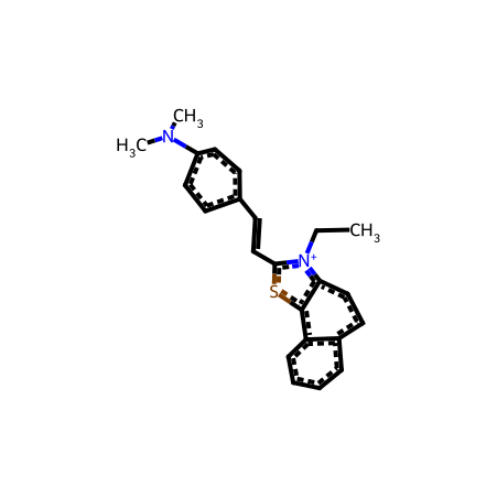 CC[n+]1c(C=Cc2ccc(N(C)C)cc2)sc2c3ccccc3ccc21